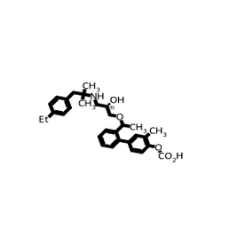 CCc1ccc(CC(C)(C)NC[C@@H](O)COC(C)c2ccccc2-c2ccc(OC(=O)O)c(C)c2)cc1